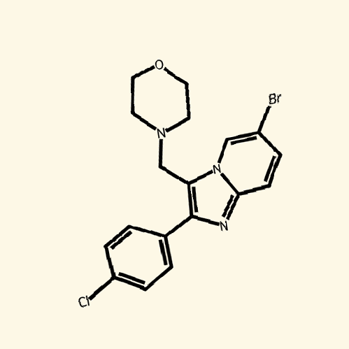 Clc1ccc(-c2nc3ccc(Br)cn3c2CN2CCOCC2)cc1